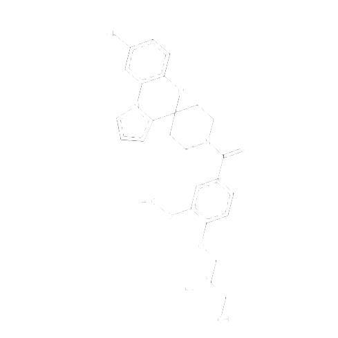 COc1cc(C(=O)N2CCC3(CC2)Oc2ccc(Cl)cc2-n2cccc23)ccc1OC[C@@H](O)CO